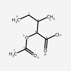 CCC(C)C(OC(C)=O)C(=O)Cl